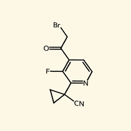 N#CC1(c2nccc(C(=O)CBr)c2F)CC1